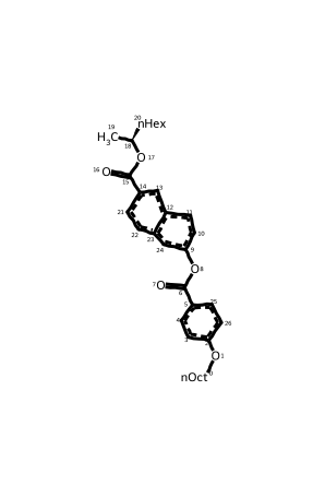 CCCCCCCCOc1ccc(C(=O)Oc2ccc3cc(C(=O)O[C@@H](C)CCCCCC)ccc3c2)cc1